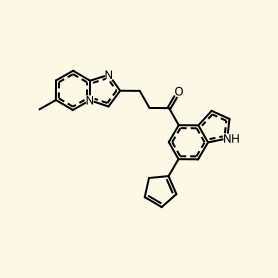 Cc1ccc2nc(CCC(=O)c3cc(C4=CC=CC4)cc4[nH]ccc34)cn2c1